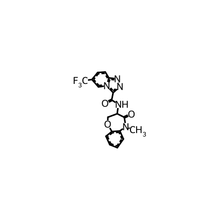 CN1C(=O)C(NC(=O)c2nnc3ccc(C(F)(F)F)cn23)COc2ccccc21